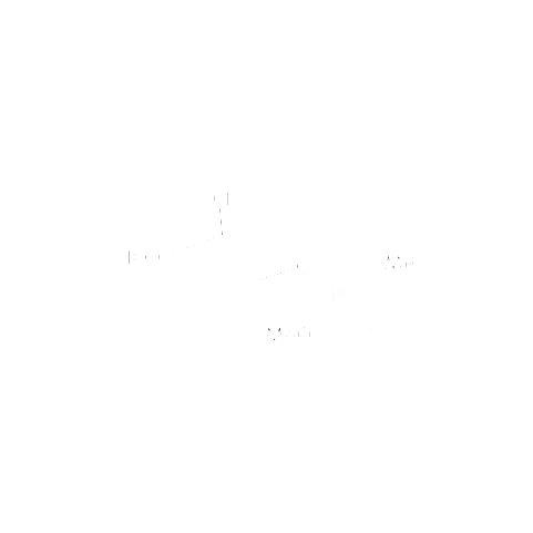 COP(=S)(OC)O/C=C(\C)C(=O)O